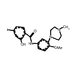 COc1ccc(NC(=O)c2ccc(I)cc2O)cc1N1CCN(C)CC1